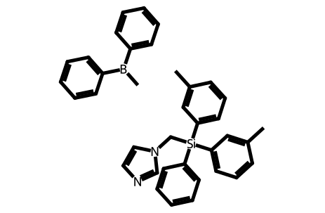 CB(c1ccccc1)c1ccccc1.Cc1cccc([Si](Cn2ccnc2)(c2ccccc2)c2cccc(C)c2)c1